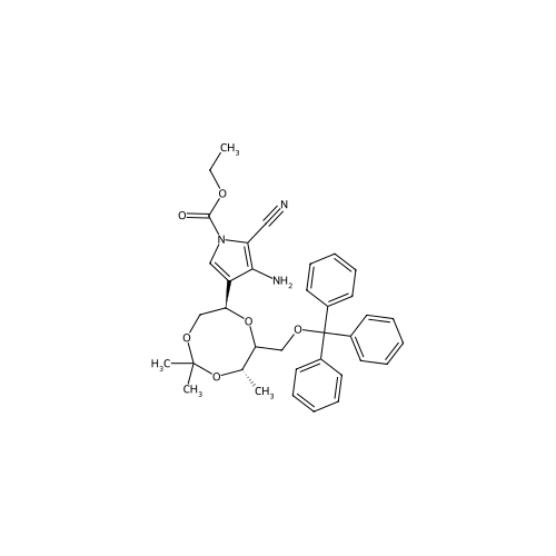 CCOC(=O)n1cc([C@@H]2COC(C)(C)O[C@@H](C)C(COC(c3ccccc3)(c3ccccc3)c3ccccc3)O2)c(N)c1C#N